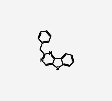 c1ccc(Cc2ncc3sc4ccccc4c3n2)cc1